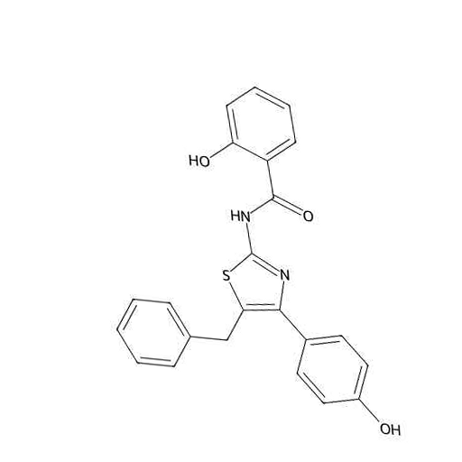 O=C(Nc1nc(-c2ccc(O)cc2)c(Cc2ccccc2)s1)c1ccccc1O